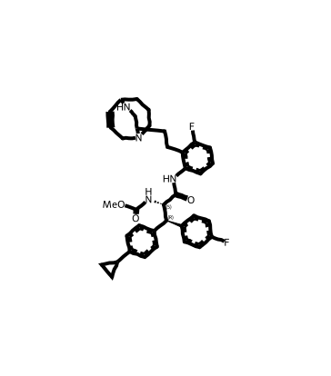 COC(=O)N[C@H](C(=O)Nc1cccc(F)c1CCC1CNC2C#CCN1CCC2)[C@@H](c1ccc(F)cc1)c1ccc(C2CC2)cc1